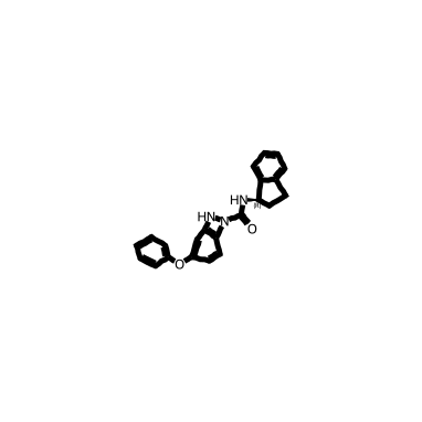 O=C(N[C@@H]1CCc2ccccc21)n1[nH]c2cc(Oc3ccccc3)ccc21